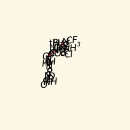 CC(C)(C)C[C@@H]1N[C@@H](C(=O)NC23CCC(C(=O)N4C[C@@H]5CN(c6ccc7c(c6)CN(C6CCC(=O)NC6=O)C7=O)C[C@@H]5C4)(CC2)CC3)[C@H](c2cccc(Cl)c2F)[C@]12CNc1cc(C(F)(F)F)ncc12